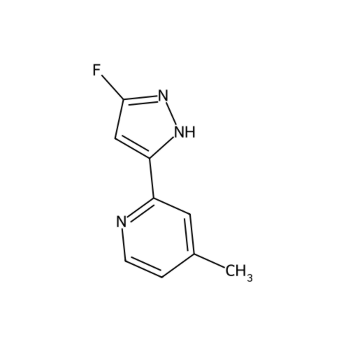 Cc1ccnc(-c2cc(F)n[nH]2)c1